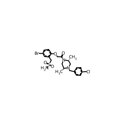 C[C@@H]1CN(Cc2ccc(Cl)cc2)[C@@H](C)CN1C(=O)COc1ccc(Br)cc1CS(N)(=O)=O